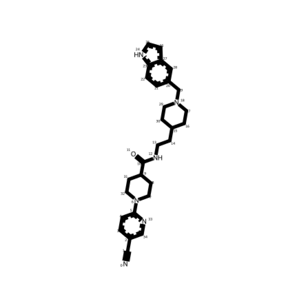 N#Cc1ccc(N2CCC(C(=O)NCCC3CCN(Cc4ccc5[nH]ccc5c4)CC3)CC2)nc1